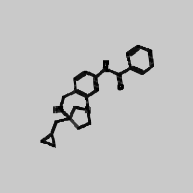 O=C(Nc1ccc2c(c1)N1CCC(CC3CC3)(C1)NC2)c1ccccc1